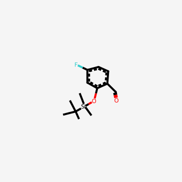 CC(C)(C)[Si](C)(C)Oc1cc(F)ccc1C=O